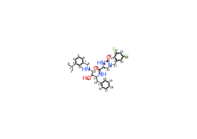 CC(C)c1cccc(CNC[C@H](O)[C@H](Cc2ccccc2)NC(=O)[C@@H]2CN(Cc3cc(F)cc(F)c3)C(=O)N2)c1